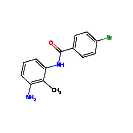 Cc1c(N)cccc1NC(=O)c1ccc(Br)cc1